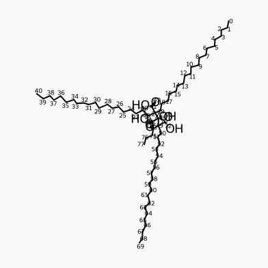 CCCCCCCCCCCCCCCCCCCCC(CCCCCCCCCCCCCCCCCCCC)(C(=O)O)C(O)(C(=O)O)C(CCCCCCCCCCCCCCCCCCCC)(C(=O)O)C(=O)CCC